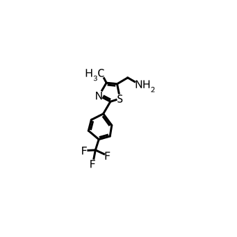 Cc1nc(-c2ccc(C(F)(F)F)cc2)sc1CN